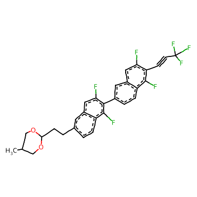 CC1COC(CCc2ccc3c(F)c(-c4ccc5c(F)c(C#CC(F)(F)F)c(F)cc5c4)c(F)cc3c2)OC1